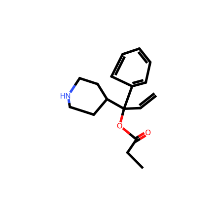 C=CC(OC(=O)CC)(c1ccccc1)C1CCNCC1